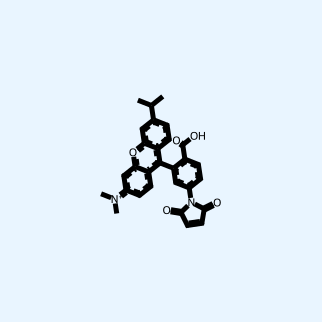 CC(C)c1ccc2c(-c3cc(N4C(=O)C=CC4=O)ccc3C(=O)O)c3ccc(=[N+](C)C)cc-3oc2c1